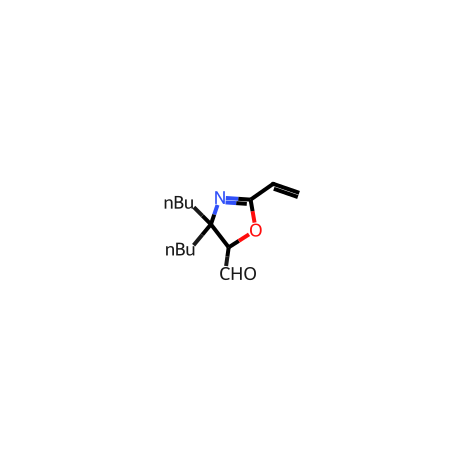 C=CC1=NC(CCCC)(CCCC)C(C=O)O1